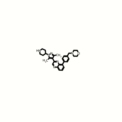 Cc1nn(C2CCNCC2)c(C)c1-c1cnc2cccc(-c3ccc(CN4CCOCC4)cc3)c2n1